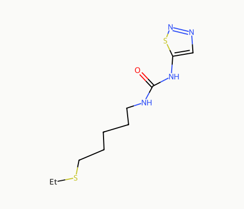 CCSCCCCCNC(=O)Nc1cnns1